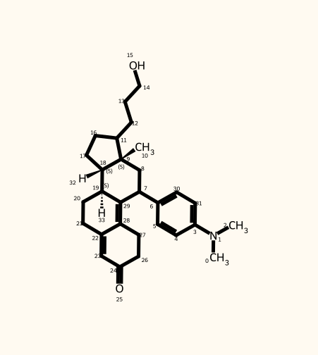 CN(C)c1ccc(C2C[C@@]3(C)C(CCCO)CC[C@H]3[C@@H]3CCC4=CC(=O)CCC4=C23)cc1